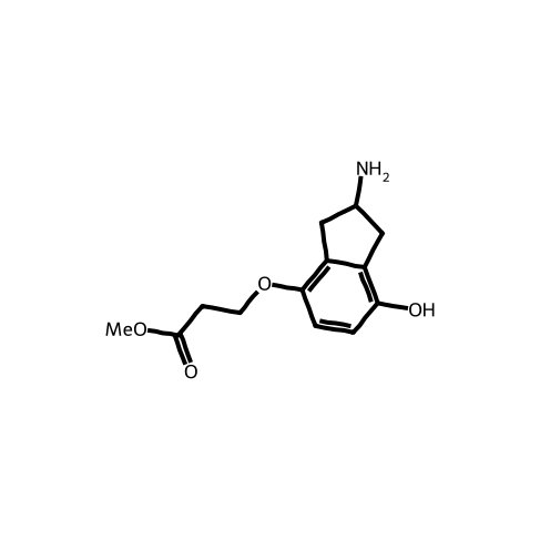 COC(=O)CCOc1ccc(O)c2c1CC(N)C2